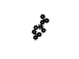 C1=CC(c2nc(-c3ccccc3)nc(-c3ccc4c(c3)c3ccccc3n4-c3ccccc3)n2)=CC(c2cccc(-n3c4ccccc4c4ccccc43)c2)C1